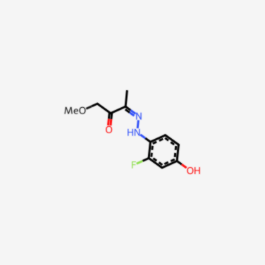 COCC(=O)/C(C)=N\Nc1ccc(O)cc1F